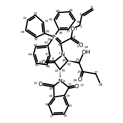 C=CCOC(=O)C(N1C(=O)[C@@H](N2C(=O)c3ccccc3C2=O)[C@@H]1C(O)C(=O)CC)=P(c1ccccc1)(c1ccccc1)c1ccccc1